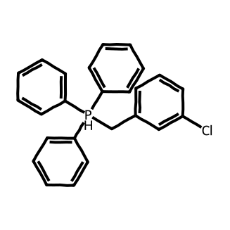 Clc1cccc(C[PH](c2ccccc2)(c2ccccc2)c2ccccc2)c1